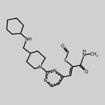 CNC(=O)/C(=C/c1ccnc(N2CCC(CNC3CCCCC3)CC2)n1)SC=O